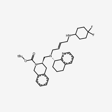 CC(C)(C)OC(=O)N1Cc2ccccc2C[C@@H]1CN(C/C=C/CNC1CCC(F)(F)CC1)[C@H]1CCCc2cccnc21